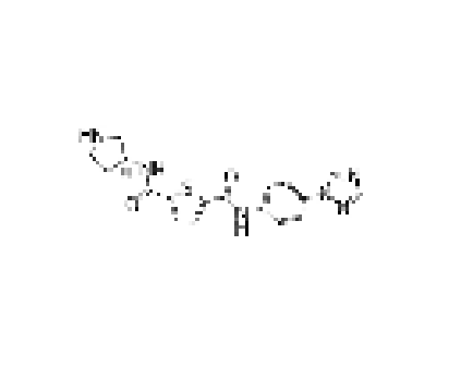 O=C(Nc1ccc(-n2cncn2)cc1)c1ccc(C(=O)N[C@@H]2CCNC2)s1